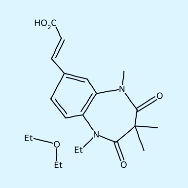 CCN1C(=O)C(C)(C)C(=O)N(C)c2cc(C=CC(=O)O)ccc21.CCOCC